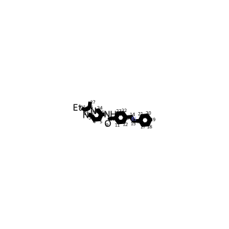 CCc1nc2ccc(NC(=O)c3ccc(/C=C/c4ccccc4)cc3)cn2c1C